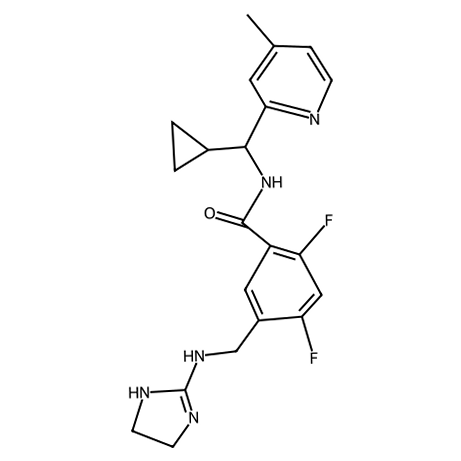 Cc1ccnc(C(NC(=O)c2cc(CNC3=NCCN3)c(F)cc2F)C2CC2)c1